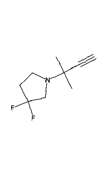 C#CC(C)(C)N1CCC(F)(F)C1